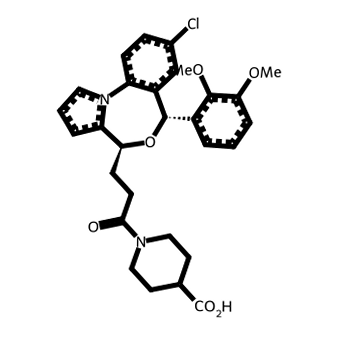 COc1cccc([C@@H]2O[C@@H](CCC(=O)N3CCC(C(=O)O)CC3)c3cccn3-c3ccc(Cl)cc32)c1OC